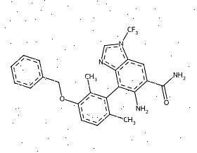 Cc1ccc(OCc2ccccc2)c(C)c1-c1c(N)c(C(N)=O)cc2c1ncn2C(F)(F)F